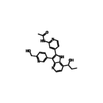 CCC(O)c1ccnc2c(-c3ccc(CO)nc3)c(-c3ccnc(NC(C)=O)c3)[nH]c12